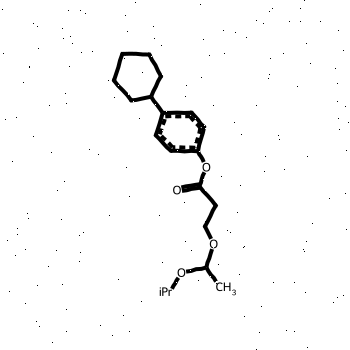 CC(C)OC(C)OCCC(=O)Oc1ccc(C2CCCCC2)cc1